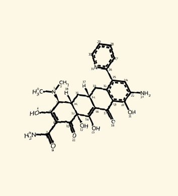 CN(C)[C@@H]1C(O)=C(C(N)=O)C(=O)[C@@]2(O)C(O)=C3C(=O)c4c(O)c(N)cc(-c5ccccn5)c4C[C@H]3C[C@@H]12